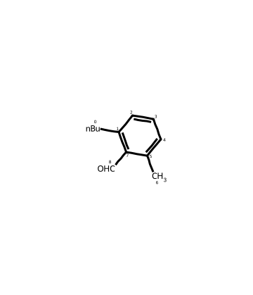 CCCCc1cccc(C)c1C=O